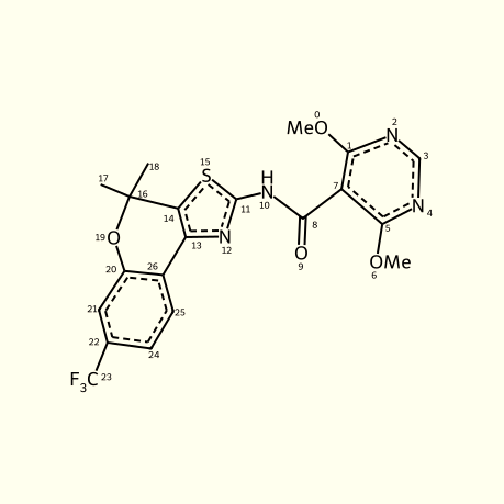 COc1ncnc(OC)c1C(=O)Nc1nc2c(s1)C(C)(C)Oc1cc(C(F)(F)F)ccc1-2